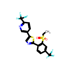 CCS(=O)(=O)c1cc(C(F)(F)F)ccc1-c1ncc(-c2ccc(C(F)(F)F)nc2)s1